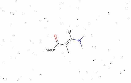 CCC(=C(C)C(=O)OC)N(C)C